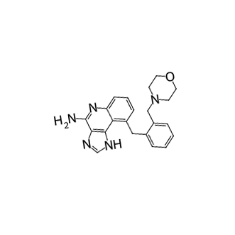 Nc1nc2cccc(Cc3ccccc3CN3CCOCC3)c2c2[nH]cnc12